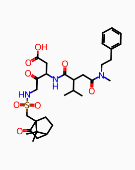 CC(C)C(CC(=O)N(C)CCc1ccccc1)C(=O)NC(CC(=O)O)C(=O)CNS(=O)(=O)CC12CCC(CC1=O)C2(C)C